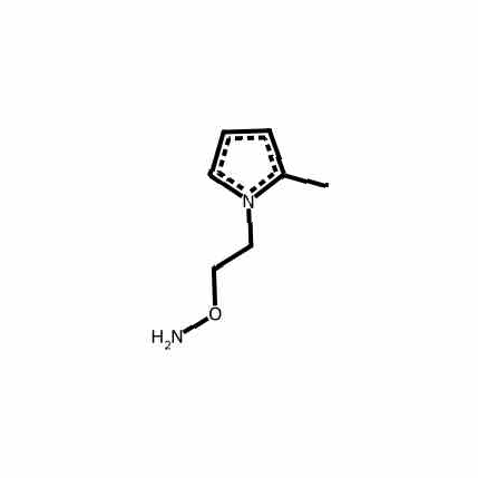 Cc1cccn1CCON